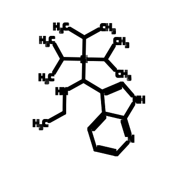 CCNC(c1c[nH]c2ncccc12)[Si](C(C)C)(C(C)C)C(C)C